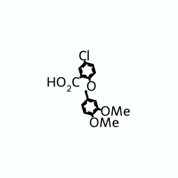 COc1ccc(COc2ccc(Cl)cc2C(=O)O)cc1OC